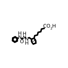 O=C(O)CCCCCCC1C2CCC(O2)C1CNNC(=O)Nc1ccccc1